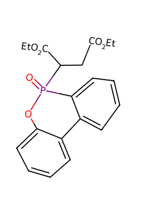 CCOC(=O)CC(C(=O)OCC)P1(=O)Oc2ccccc2-c2ccccc21